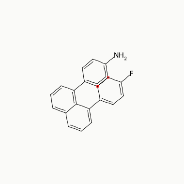 NC1=C=C=C(c2cccc3cccc(C4=CC=C(F)CC4)c23)C=C1